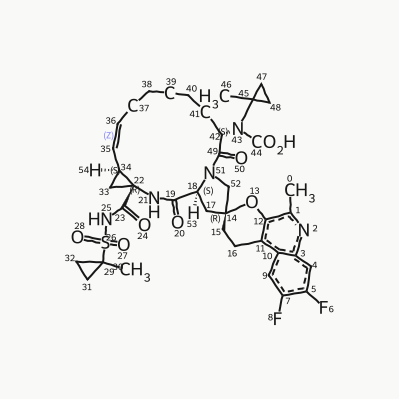 Cc1nc2cc(F)c(F)cc2c2c1O[C@]1(CC2)C[C@H]2C(=O)N[C@]3(C(=O)NS(=O)(=O)C4(C)CC4)C[C@H]3/C=C\CCCCC[C@H](N(C(=O)O)C3(C)CC3)C(=O)N2C1